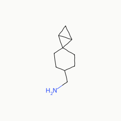 NCC1CCC2(CC1)C1CC12